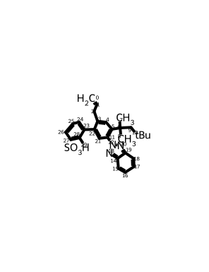 C=CCc1cc(C(C)(C)CC(C)(C)C)c(-n2nc3ccccc3n2)cc1-c1ccccc1S(=O)(=O)O